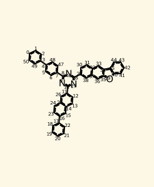 c1ccc(-c2ccc(-c3nc(-c4ccc5cc(-c6ccccc6)ccc5c4)nc(-c4ccc5cc6c(cc5c4)oc4ccccc46)n3)cc2)cc1